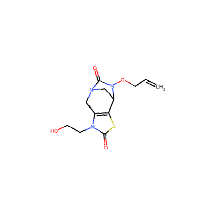 C=CCON1C(=O)N2Cc3c(sc(=O)n3CCO)C1C2